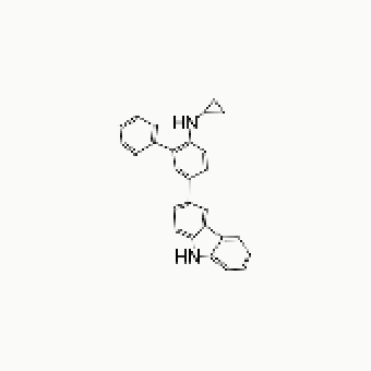 c1ccc(-c2cc(-c3ccc4[nH]c5ccccc5c4c3)ccc2NC2CC2)cc1